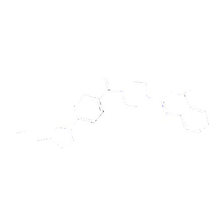 C=C(c1ccc(N2CCC(COC)C2)cc1)N1CCN(c2nc3ccccc3c(=O)[nH]2)CC1